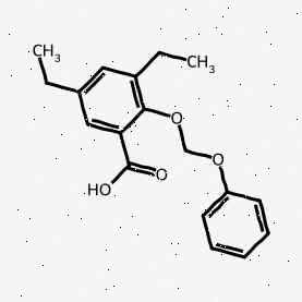 CCc1cc(CC)c(OCOc2ccccc2)c(C(=O)O)c1